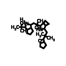 CC(C)(C)C1NC(CC(C)(C)C2NC(CC(C)(C)C3OC4CCCC43)C3CCC32)C2CCCC21